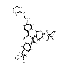 O=C(c1ccc(OCCN2CCCCC2)cc1)c1c(-c2ccc(OS(=O)(=O)C(F)(F)F)cc2)sc2cc(OS(=O)(=O)C(F)(F)F)ccc12